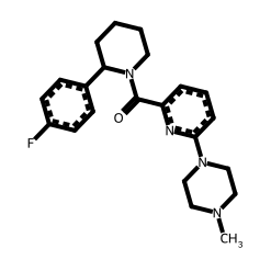 CN1CCN(c2cccc(C(=O)N3CCCCC3c3ccc(F)cc3)n2)CC1